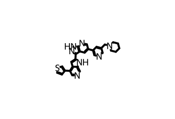 c1cc(-c2cncc3[nH]c(-c4n[nH]c5ncc(-c6cncc(CN7CCCCC7)c6)cc45)cc23)cs1